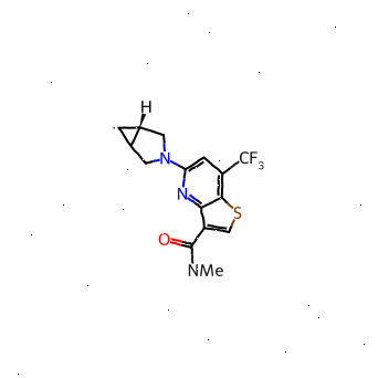 CNC(=O)c1csc2c(C(F)(F)F)cc(N3CC4[CH][C@@H]4C3)nc12